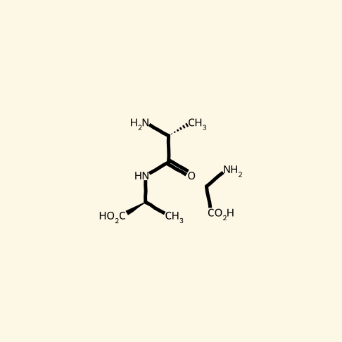 C[C@H](NC(=O)[C@@H](C)N)C(=O)O.NCC(=O)O